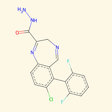 NNC(=O)C1=Nc2ccc(Cl)c(-c3c(F)cccc3F)c2C=NC1